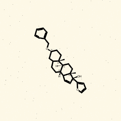 C[C@]12CC[C@H](OCc3ccccc3)CC1CC[C@H]1C3C=C[C@@](O)(c4ccco4)[C@@]3(C)CC[C@@H]12